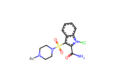 CC(=O)N1CCN(S(=O)(=O)c2c(C(N)=O)n(Cl)c3ccccc23)CC1